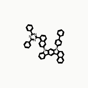 c1ccc(-c2ccc(-n3c4cc5c(cc4c4c6ccccc6ccc43)c3ccccc3n5-c3ccc4c(-c5nc(-c6ccccc6)nc(-c6ccccc6)n5)cccc4c3)cc2)cc1